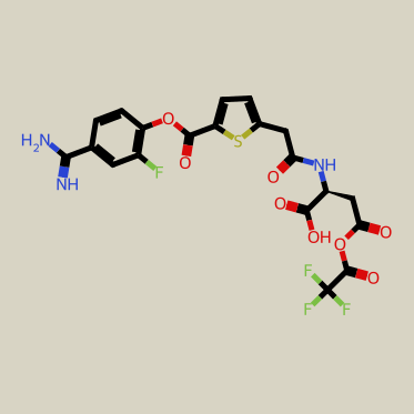 N=C(N)c1ccc(OC(=O)c2ccc(CC(=O)N[C@@H](CC(=O)OC(=O)C(F)(F)F)C(=O)O)s2)c(F)c1